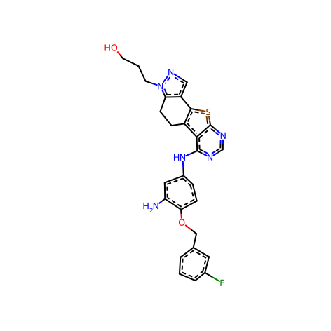 Nc1cc(Nc2ncnc3sc4c(c23)CCc2c-4cnn2CCCO)ccc1OCc1cccc(F)c1